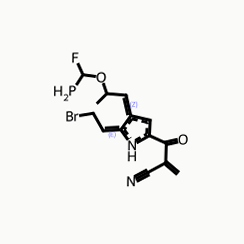 C=C(C#N)C(=O)c1cc(=C/C(C)OC(F)P)/c(=C\CBr)[nH]1